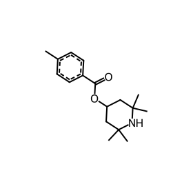 Cc1ccc(C(=O)OC2CC(C)(C)NC(C)(C)C2)cc1